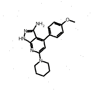 COc1ccc(-c2cc(N3CCCCC3)nc3[nH]nc(N)c23)cc1